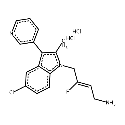 Cc1c(-c2cccnc2)c2cc(Cl)ccc2n1C/C(F)=C/CN.Cl.Cl